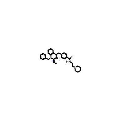 C/C=C1\C(=O)C(Cc2ccc(C(=O)NCCN3CCCCC3)cc2)c2ncccc2N1Cc1ccccc1